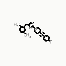 Cc1ccc(C)c(Cc2csc(N3CCC(S(=O)(=O)c4ccc(F)cc4)CC3)n2)c1